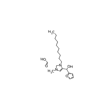 CCCCCCCCCCN1CN(C)C=C1C(O)c1ccco1.O=CO